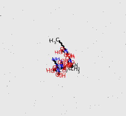 CC(C)(C)OC(=O)N(CC(=O)O)CC(=O)O.CC(NCC(=O)O)C(=O)O.CCCCCCCCN(CC(=O)O)CC(=O)O.NCCCCCCN(CC(=O)O)CC(=O)O